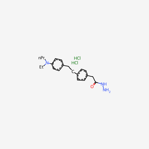 CCCN(CC)c1ccc(CCc2ccc(CC(=O)NN)cc2)cc1.Cl.Cl